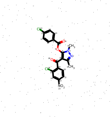 Cc1nn(C)c(OC(=O)c2ccc(Cl)cc2)c1C(=O)c1ccc([N+](=O)[O-])cc1Cl